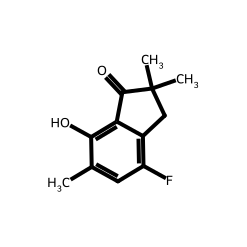 Cc1cc(F)c2c(c1O)C(=O)C(C)(C)C2